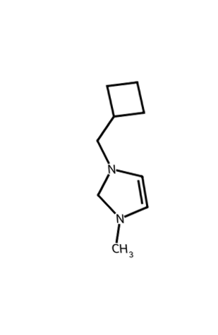 CN1C=CN(CC2CCC2)C1